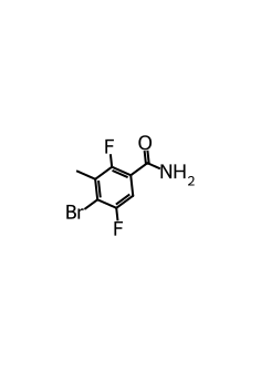 Cc1c(F)c(C(N)=O)cc(F)c1Br